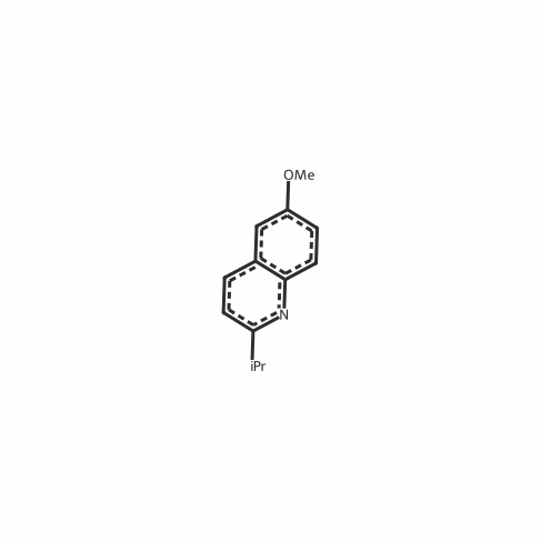 COc1ccc2nc(C(C)C)ccc2c1